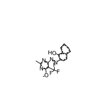 COc1nc(C)nc(N=Nc2ccc3ccccc3c2O)c1C(F)(F)F